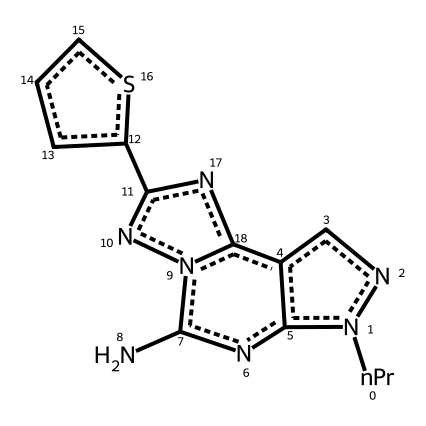 CCCn1ncc2c1nc(N)n1nc(-c3cccs3)nc21